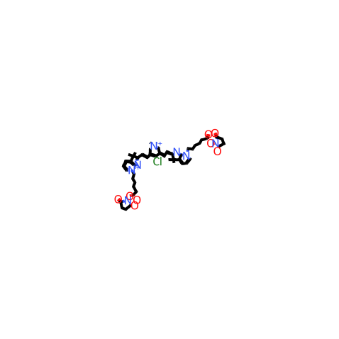 CC1(C)C2=CC=CN(CCCCCC(=O)ON3C(=O)CCC3=O)C2=N/C1=C/C=C1\C[N+](C)(C)CC(/C=C/C2=Nc3c(ccc[n+]3CCCCCC(=O)ON3C(=O)CCC3=O)C2(C)C)=C1Cl